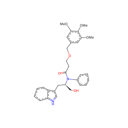 COc1cc(COCCC(=O)N(c2ccccc2)[C@@H](CO)Cc2c[nH]c3ccccc23)cc(OC)c1OC